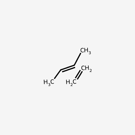 C=C.CC=CC